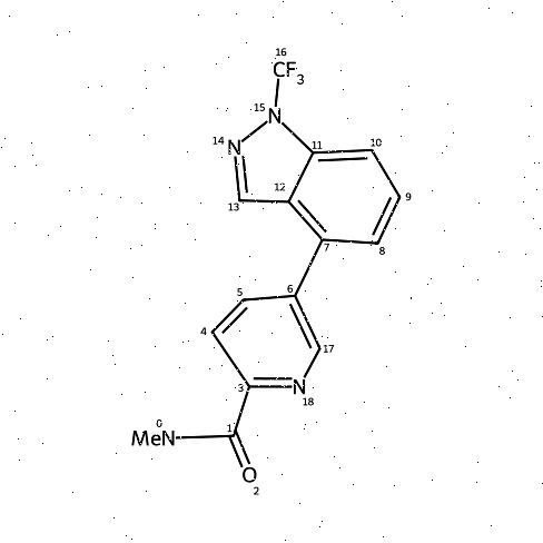 CNC(=O)c1ccc(-c2cccc3c2cnn3C(F)(F)F)cn1